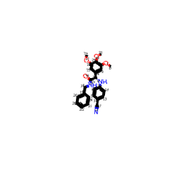 COc1cc([C@H](Nc2ccc(C#N)cc2)C(=O)NCc2ccccc2)cc(OC)c1OC